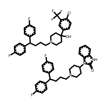 O=c1[nH]c2ccccc2n1C1CCN(CCCC(c2ccc(F)cc2)c2ccc(F)cc2)CC1.OC1(c2ccc(Cl)c(C(F)(F)F)c2)CCN(CCCC(c2ccc(F)cc2)c2ccc(F)cc2)CC1